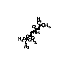 CC(C)=CC(=O)NCC(=O)OC(C)(C)C